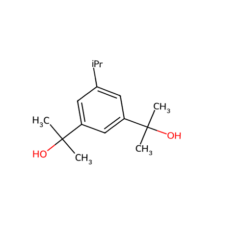 CC(C)c1cc(C(C)(C)O)cc(C(C)(C)O)c1